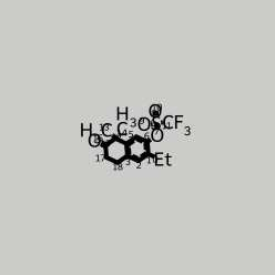 CCc1cc2c(cc1OS(=O)(=O)C(F)(F)F)C(C)(C)C(=O)CC2